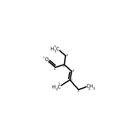 CCC(C)=CC(C=O)CC